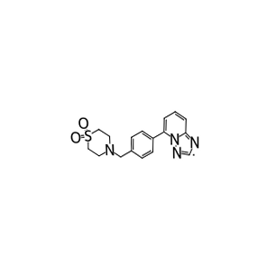 O=S1(=O)CCN(Cc2ccc(-c3cccc4n[c]nn34)cc2)CC1